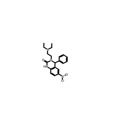 CCN(CC)CCN1C(=O)Nc2ccc([N+](=O)[O-])cc2C1c1ccccc1